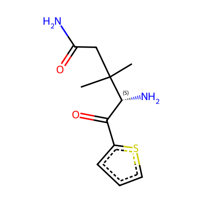 CC(C)(CC(N)=O)[C@H](N)C(=O)c1cccs1